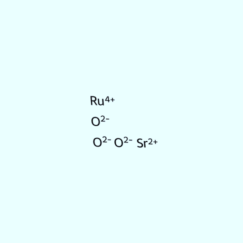 [O-2].[O-2].[O-2].[Ru+4].[Sr+2]